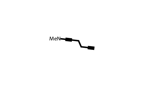 C#CCCC#CNC